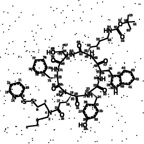 CCCCN(CCSSc1ccccn1)C(=O)CC[C@H]1C(=O)N[C@@H](Cc2ccc(O)cc2)C(=O)N[C@H](Cc2c[nH]c3ccccc23)C(=O)N[C@@H](CCCCNC(=O)OC(C)(C)C)C(=O)N[C@@H]([C@@H](C)O)C(=O)N[C@@H](Cc2ccccc2)C(=O)N1C